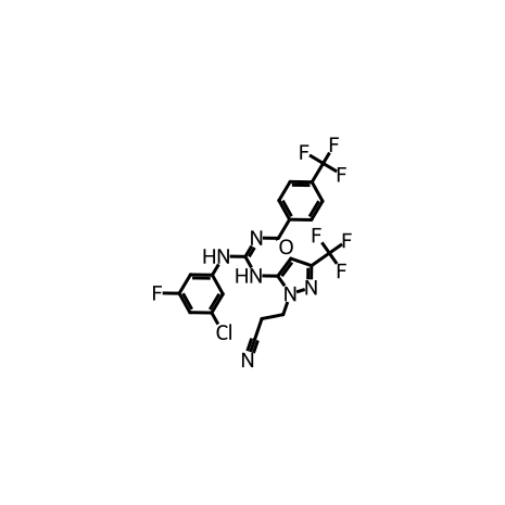 N#CCCn1nc(C(F)(F)F)cc1N/C(=N\C(=O)c1ccc(C(F)(F)F)cc1)Nc1cc(F)cc(Cl)c1